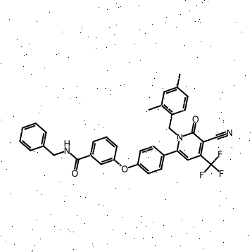 Cc1ccc(Cn2c(-c3ccc(Oc4cccc(C(=O)NCc5ccccc5)c4)cc3)cc(C(F)(F)F)c(C#N)c2=O)c(C)c1